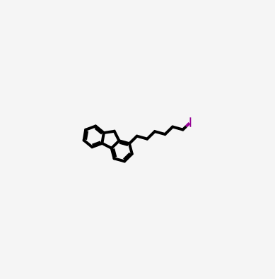 ICCCCCCc1cccc2c1Cc1ccccc1-2